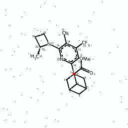 COC(=O)CC1C2CC1CN(c1cc(C(F)(F)F)c(C#N)c(N3CC[C@@H]3C)n1)C2